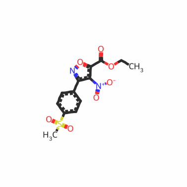 CCOC(=O)c1onc(-c2ccc(S(C)(=O)=O)cc2)c1[N+](=O)[O-]